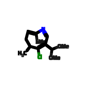 COC(OC)C1=C(\Cl)C(C)C/C=C(SC)/N=C\1